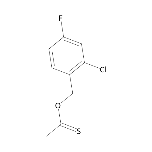 CC(=S)OCc1ccc(F)cc1Cl